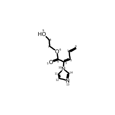 C=CC=C(C(=O)OCCO)n1ccnc1